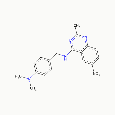 Cc1nc(NCc2ccc(N(C)C)cc2)c2cc([N+](=O)[O-])ccc2n1